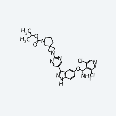 CC(C)OC(=O)N1CCCC2(C1)CN(c1ncc(-c3n[nH]c4ccc(O[C@H](N)c5c(Cl)cncc5Cl)cc34)cn1)C2